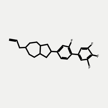 C=CCC1CCC2CC(c3ccc(-c4cc(F)c(F)c(F)c4)c(F)c3)CC2CC1